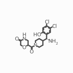 N[C@@H](c1cc(Cl)c(Cl)cc1O)C1CCN(C(=O)C2CNC(=O)CO2)CC1